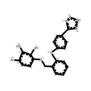 CCCc1c(OCc2ccccc2Sc2ccc(-c3nn[nH]n3)cc2)ccc(C(C)=O)c1O